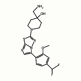 COc1cc(C(F)F)ccc1-c1cnc2sc(N3CCC(O)(CN)CC3)nn12